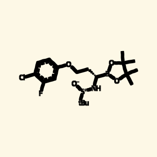 CC(C)(C)[S+]([O-])N[C@H](CCOc1ccc(Cl)c(F)c1)B1OC(C)(C)C(C)(C)O1